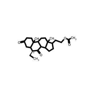 CC[C@@H]1C(=O)C2C3CCC(CCOC(C)=O)C3(C)CCC2C2(C)CCC(=O)CC12